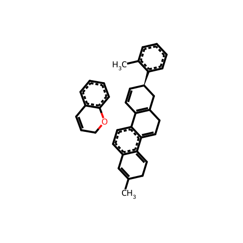 C1=Cc2ccccc2OC1.CC1=Cc2ccc3c(c2=CC1)=CCC1=C3C=C[C@@H](c2ccccc2C)C1